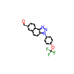 O=Cc1ccc2c(ccc3c2nnn3-c2ccc(OC(F)(F)F)cc2)c1